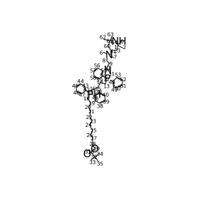 CC1(C)CC([N+](C)(C)CCCC[PH](CCCC[PH](CCCCCCCCCCCOC(=O)C(C)(C)C)(c2ccccc2)c2ccccc2)(c2ccccc2)c2ccccc2)CC(C)(C)N1